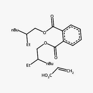 C=CC(=O)O.CCCCC(CC)COC(=O)c1ccccc1C(=O)OCC(CC)CCCC